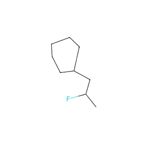 CC(F)CC1CCCCC1